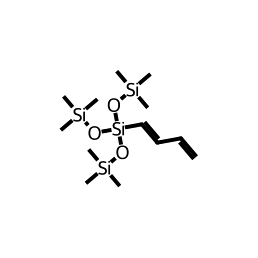 C=CC=C[Si](O[Si](C)(C)C)(O[Si](C)(C)C)O[Si](C)(C)C